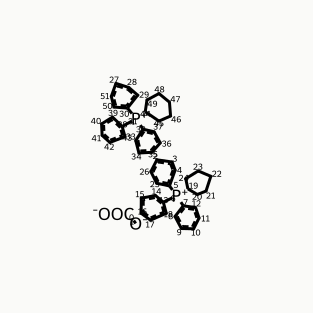 O=C([O-])[O-].c1ccc([P+](c2ccccc2)(c2ccccc2)C2CCCCC2)cc1.c1ccc([P+](c2ccccc2)(c2ccccc2)C2CCCCC2)cc1